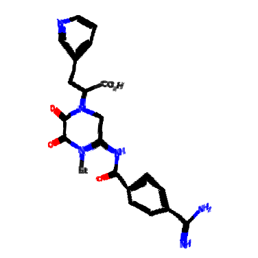 CCN1C(=O)C(=O)N(C(Cc2cccnc2)C(=O)O)CC1NC(=O)c1ccc(C(=N)N)cc1